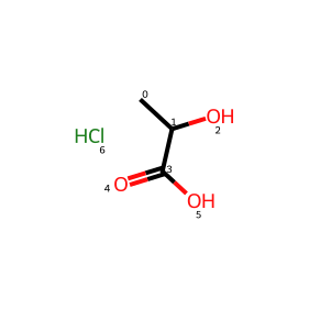 CC(O)C(=O)O.Cl